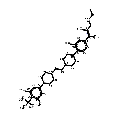 CCOC/C(F)=C(\F)c1ccc(C2CCC(CCC3CCC(c4cc(F)c(C(F)(F)F)c(F)c4)CC3)CC2)c(F)c1